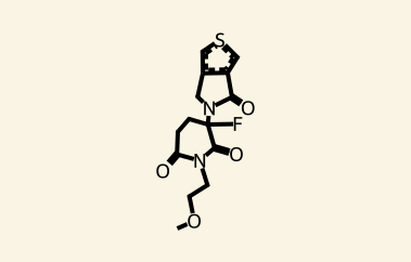 COCCN1C(=O)CCC(F)(N2Cc3cscc3C2=O)C1=O